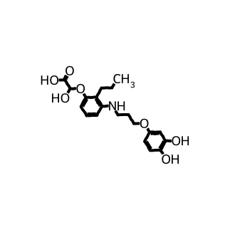 CCCc1c(NCCCOc2ccc(O)c(O)c2)cccc1OC(O)C(=O)O